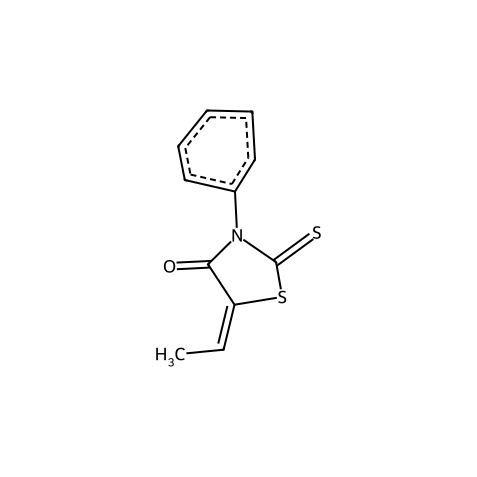 CC=C1SC(=S)N(c2ccccc2)C1=O